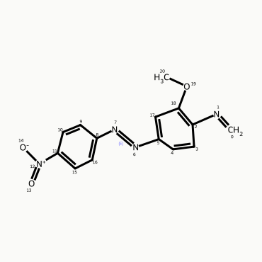 C=Nc1ccc(/N=N/c2ccc([N+](=O)[O-])cc2)cc1OC